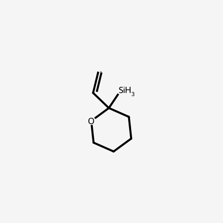 [CH]=CC1([SiH3])CCCCO1